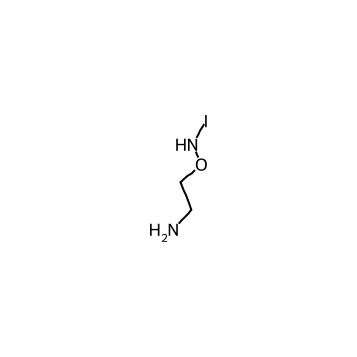 NCCONI